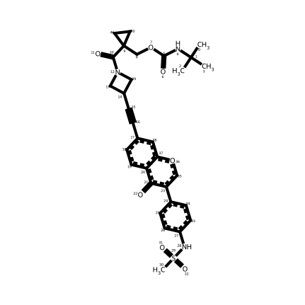 CC(C)(C)NC(=O)OCC1(C(=O)N2CC(C#Cc3ccc4c(=O)c(-c5ccc(NS(C)(=O)=O)cc5)coc4c3)C2)CC1